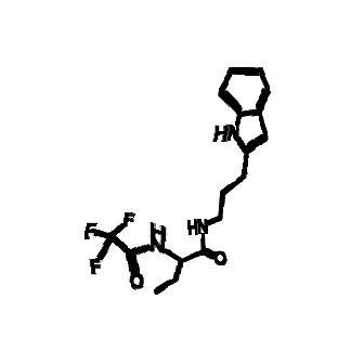 CCC(NC(=O)C(F)(F)F)C(=O)NCCCc1cc2ccccc2[nH]1